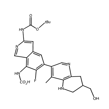 Cc1c(-c2cc3cc(NC(=O)OC(C)(C)C)ncc3c(NC(=O)O)c2F)cnc2c1NCC(CO)C2